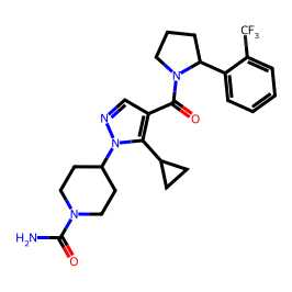 NC(=O)N1CCC(n2ncc(C(=O)N3CCCC3c3ccccc3C(F)(F)F)c2C2CC2)CC1